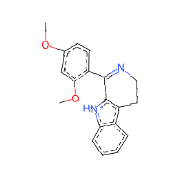 COc1ccc(C2=NCCc3c2[nH]c2ccccc32)c(OC)c1